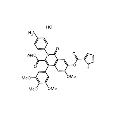 COC(=O)c1c(-c2cc(OC)c(OC)c(OC)c2)c2cc(OC)c(OC(=O)c3ccc[nH]3)cc2c(=O)n1-c1ccc(N)cc1.Cl